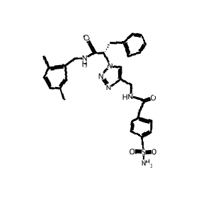 Cc1ccc(C)c(CNC(=O)[C@H](Cc2ccccc2)n2cc(CNC(=O)c3ccc(S(N)(=O)=O)cc3)nn2)c1